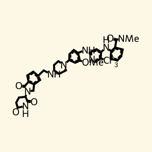 CNC(=O)c1ccccc1Nc1cc(Nc2ccc(N3CCC(NCc4ccc5c(c4)CN(C4CCC(=O)NC4=O)C5=O)CC3)cc2OC)ncc1C(F)(F)F